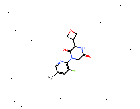 Cc1cnc(N2CC(=O)NC(C3COC3)C2=O)c(F)c1